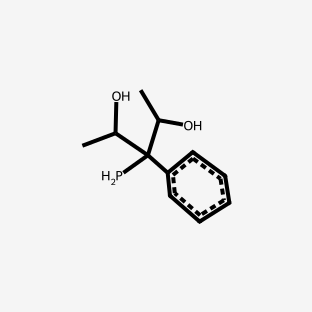 CC(O)C(P)(c1ccccc1)C(C)O